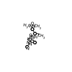 CCc1cc(NC(=O)N2CCc3nc(-c4cccnc4)nc(-c4ccccc4C)c3C2)cc(-c2ccc3c(c2)n(C)c(=O)n3C)c1